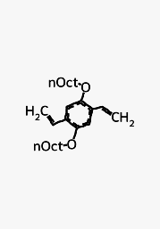 C=Cc1cc(OCCCCCCCC)c(C=C)cc1OCCCCCCCC